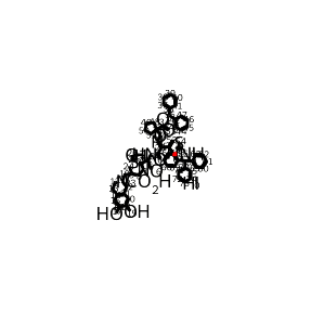 I.O=C(NC1C(=O)N2CC(CN3CCc4cc(O)c(O)cc4C3)(C(=O)O)C[S+]([O-])[C@H]12)C(=NOC1(C(=O)OC(c2ccccc2)c2ccccc2)CCCC1)c1csc(NC(c2ccccc2)(c2ccccc2)c2ccccc2)n1